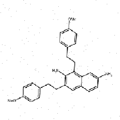 COc1ccc(CCc2cc3ccc(N)cc3c(CCc3ccc(OC)cc3)c2N)cc1